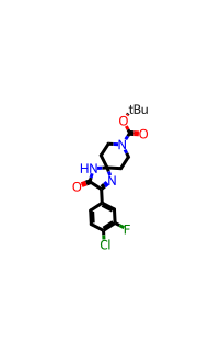 CC(C)(C)OC(=O)N1CCC2(CC1)N=C(c1ccc(Cl)c(F)c1)C(=O)N2